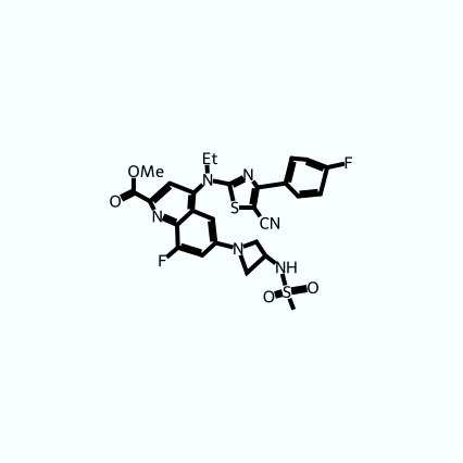 CCN(c1nc(-c2ccc(F)cc2)c(C#N)s1)c1cc(C(=O)OC)nc2c(F)cc(N3CC(NS(C)(=O)=O)C3)cc12